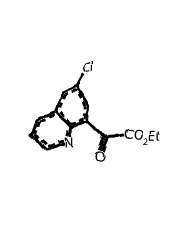 CCOC(=O)C(=O)c1cc(Cl)cc2cccnc12